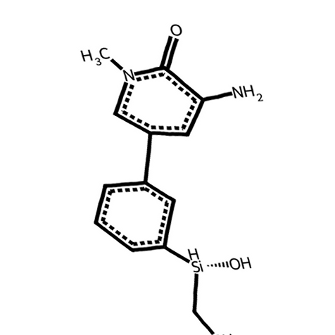 CC[Si@@H](O)c1cccc(-c2cc(N)c(=O)n(C)c2)c1